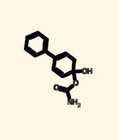 NC(=O)OC1(O)C=CC(c2ccccc2)=CC1